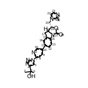 CC(C)(O)c1cn(-c2ccc(-c3ccc4c(c3)C[C@H]3[C@H](Cn5ccnn5)OC(=O)N43)cn2)nn1